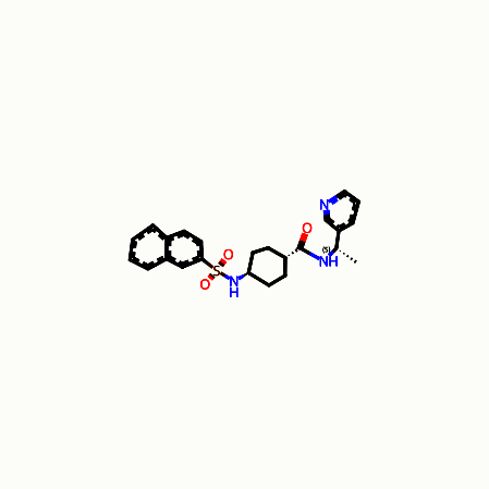 C[C@H](NC(=O)[C@H]1CC[C@H](NS(=O)(=O)c2ccc3ccccc3c2)CC1)c1cccnc1